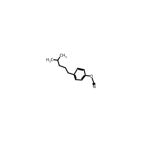 CC(C)CCCc1ccc(OC#N)cc1